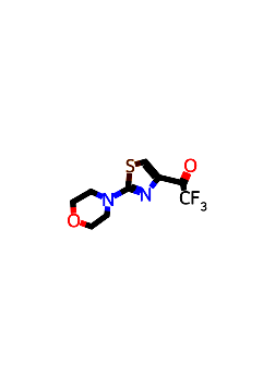 O=C(c1csc(N2CCOCC2)n1)C(F)(F)F